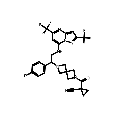 N#CC1(C(=O)N2CC3(C2)CN([C@H](CNc2cc(C(F)(F)F)nc4cc(C(F)(F)F)nn24)c2ccc(F)cc2)C3)CC1